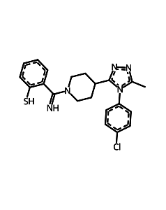 Cc1nnc(C2CCN(C(=N)c3ccccc3S)CC2)n1-c1ccc(Cl)cc1